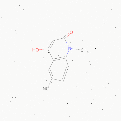 Cn1c(=O)cc(O)c2cc(C#N)ccc21